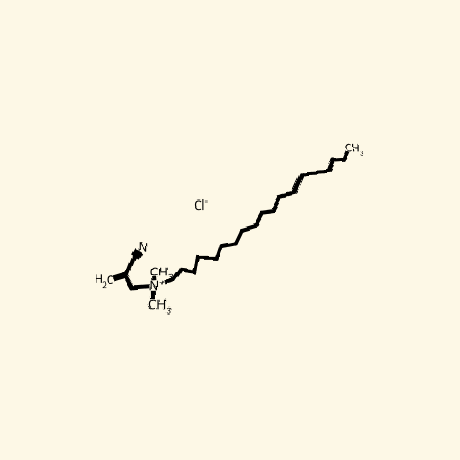 C=C(C#N)C[N+](C)(C)CCCCCCCCCCCCCCCCCC.[Cl-]